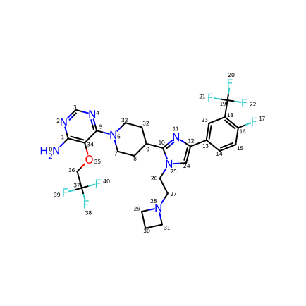 Nc1ncnc(N2CCC(c3nc(-c4ccc(F)c(C(F)(F)F)c4)cn3CCN3CCC3)CC2)c1OCC(F)(F)F